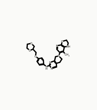 Cc1c(N2CCc3cnc(Nc4ccc(OCC5COCCO5)cc4)nc3C2)cnc2c1NCCO2